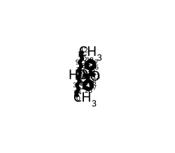 CCCCCCOCCCCCC.O=C(c1ccccc1)C(O)c1ccccc1